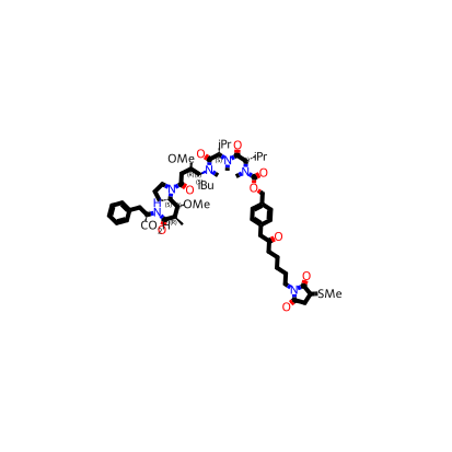 CC[C@H](C)[C@@H]([C@@H](CC(=O)N1CCC[C@H]1[C@H](OC)[C@@H](C)C(=O)N[C@@H](Cc1ccccc1)C(=O)O)OC)N(C)C(=O)[C@H](C(C)C)N(C)C(=O)[C@H](C(C)C)N(C)C(=O)OCc1ccc(CC(=O)CCCCCN2C(=O)CC(SC)C2=O)cc1